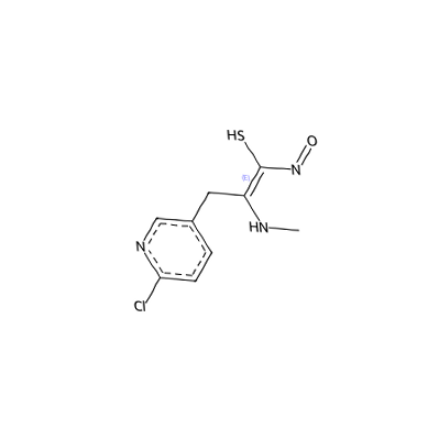 CN/C(Cc1ccc(Cl)nc1)=C(/S)N=O